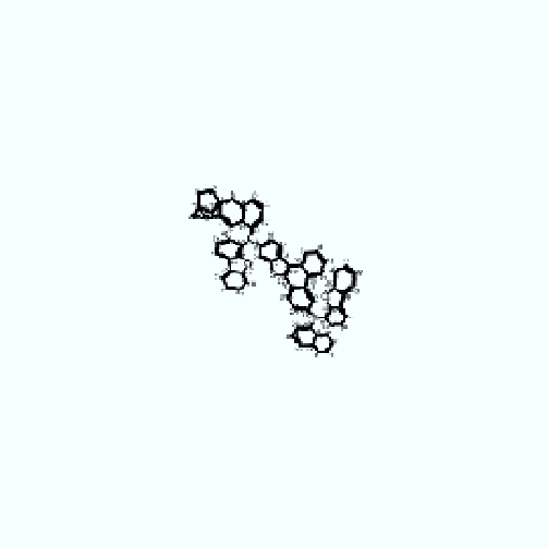 C1=C2C3CC34CCC2(Cc2cccc(N(c3ccc5c(c3)sc3c6ccc(N(c7cccc8ccccc78)c7cccc8c7oc7ccccc78)cc6c6ccccc6c53)c3cccc5c3oc3ccccc35)c21)C4